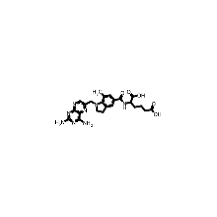 Cc1cc(C(=O)NC(CCCC(=O)O)C(=O)O)cc2c1N(Cc1cnc3nc(N)nc(N)c3n1)CC2